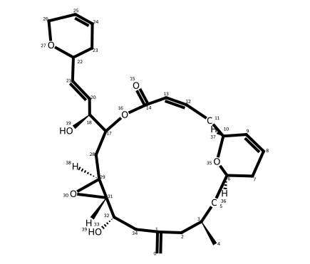 C=C1C[C@H](C)C[C@@H]2CC=C[C@@H](C/C=C\C(=O)OC([C@@H](O)/C=C/C3CC=CCO3)C[C@@H]3O[C@H]3[C@@H](O)C1)O2